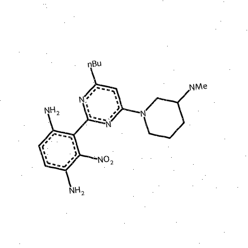 CCCCc1cc(N2CCCC(NC)C2)nc(-c2c(N)ccc(N)c2[N+](=O)[O-])n1